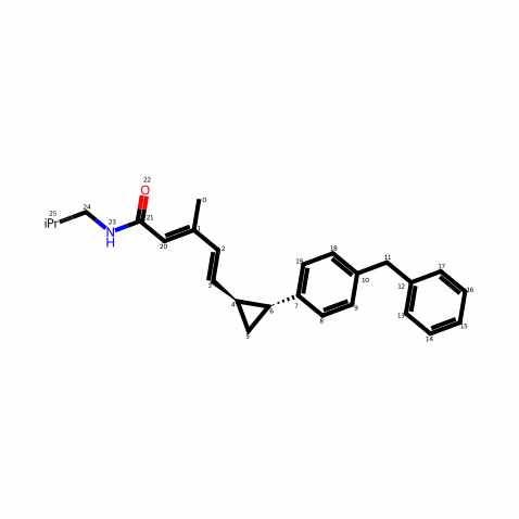 CC(C=C[C@@H]1C[C@H]1c1ccc(Cc2ccccc2)cc1)=CC(=O)NCC(C)C